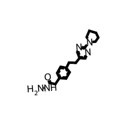 NNC(=O)Cc1ccc(CCc2cnc(N3CCCCC3)nc2)cc1